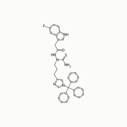 NC(=S)N(CCCc1cn(C(c2ccccc2)(c2ccccc2)c2ccccc2)cn1)NC(=O)Cc1c[nH]c2ccc(F)cc12